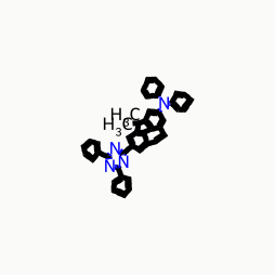 CC1(C)c2cc(-c3nc(-c4ccccc4)nc(-c4ccccc4)n3)cc3ccc4cc(N(c5ccccc5)c5ccccc5)cc1c4c23